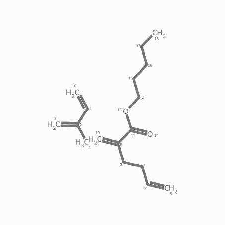 C=CC(=C)C.C=CCCC(=C)C(=O)OCCCCC